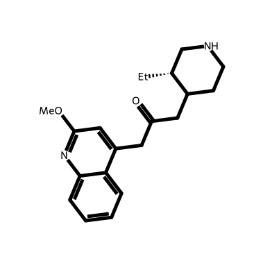 CC[C@@H]1CNCCC1CC(=O)Cc1cc(OC)nc2ccccc12